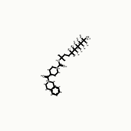 CC(C)(CCC(F)(F)C(F)(F)C(F)(F)C(F)(F)C(F)(F)C(F)(F)F)OC(=O)N1CCC(C(=O)N2CCc3ccccc3C2)CC1